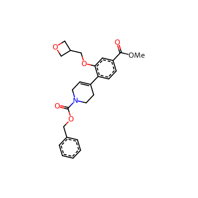 COC(=O)c1ccc(C2=CCN(C(=O)OCc3ccccc3)CC2)c(OCC2COC2)c1